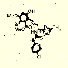 COC(=O)c1c(Br)c(OC)cc(O)c1CSC[C@H](NC(=S)Nc1ccc(Cl)cc1)c1nc(C)no1